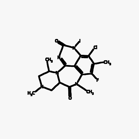 Cc1c(F)c2c3c(nc(=O)n(I)c3c1Cl)N1C(C)CN(C)CC1C(=O)N2C